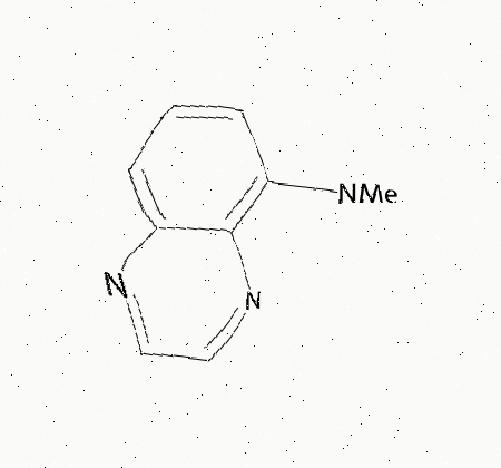 CNc1cccc2nccnc12